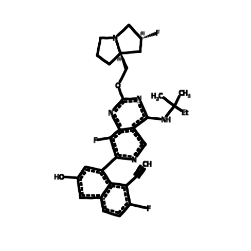 C#Cc1c(F)ccc2cc(O)cc(-c3ncc4c(NC(C)(C)CC)nc(OC[C@@]56CCCN5C[C@H](F)C6)nc4c3F)c12